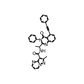 Cc1nn2cccnc2c1C(=O)NC(C)c1nc2cccc(C#Cc3ccccc3)c2c(=O)n1-c1ccccc1